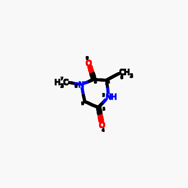 CC1NC(=O)CN(C)C1=O